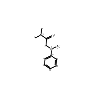 CC(=O)N(CC(=O)N(C)C)c1[c]cccc1